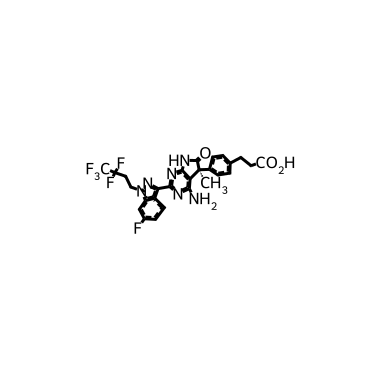 C[C@@]1(c2ccc(CCC(=O)O)cc2)C(=O)Nc2nc(-c3nn(CCC(F)(F)C(F)(F)F)c4cc(F)ccc34)nc(N)c21